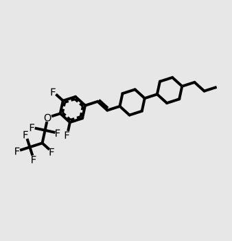 CCCC1CCC(C2CCC(C=Cc3cc(F)c(OC(F)(F)C(F)C(F)(F)F)c(F)c3)CC2)CC1